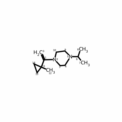 C=C(N1CCN(C(C)C)CC1)C1(C)CC1